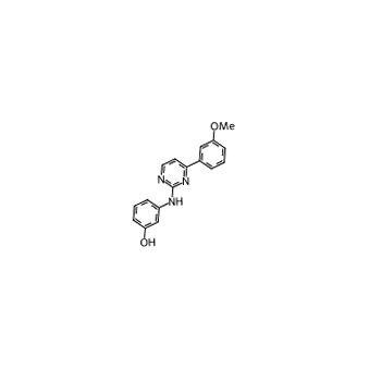 COc1cccc(-c2ccnc(Nc3cccc(O)c3)n2)c1